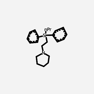 CCC[Si](CCN1CCCCC1)(c1ccccc1)c1ccccc1